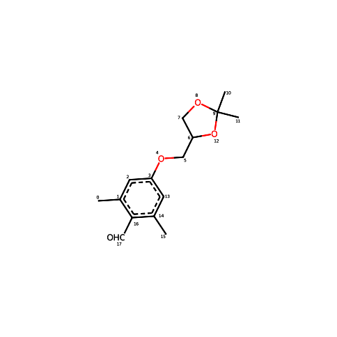 Cc1cc(OCC2COC(C)(C)O2)cc(C)c1C=O